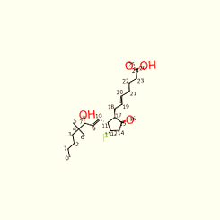 CCCCC(C)(C)[C@H](O)C=C[C@H]1[C@H](F)CC(=O)[C@@H]1CC=CCCCC(=O)O